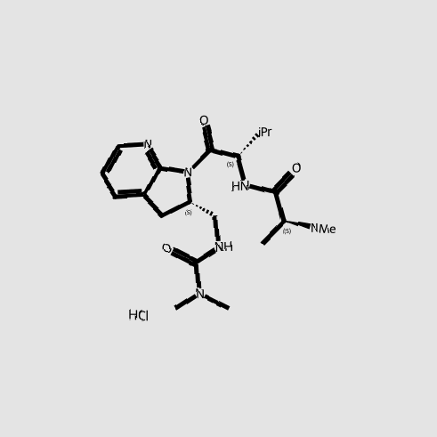 CN[C@@H](C)C(=O)N[C@H](C(=O)N1c2ncccc2C[C@H]1CNC(=O)N(C)C)C(C)C.Cl